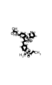 CCCS(=O)(=O)N(C)c1ccc(CC(NS(=O)(=O)c2cccnc2)c2cccc(NCC(=O)O)n2)cc1